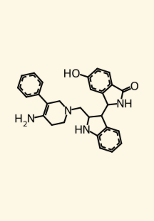 NC1=C(c2ccccc2)CN(CC2Nc3ccccc3C2C2NC(=O)c3ccc(O)cc32)CC1